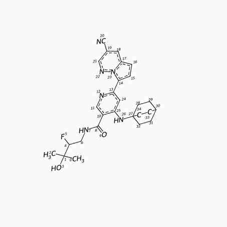 CC(C)(O)C(F)CNC(=O)c1cnc(-c2ccc3cc(C#N)cnn23)cc1NC12CCC(CC1)CC2